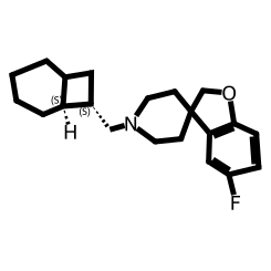 Fc1ccc2c(c1)C1(CCN(C[C@H]3CC4CCCC[C@@H]43)CC1)CO2